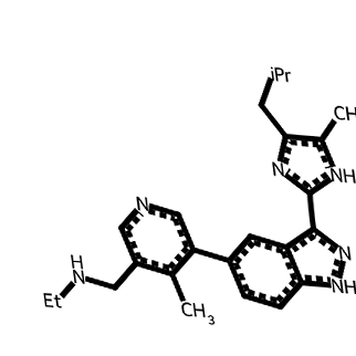 CCNCc1cncc(-c2ccc3[nH]nc(-c4nc(CC(C)C)c(C)[nH]4)c3c2)c1C